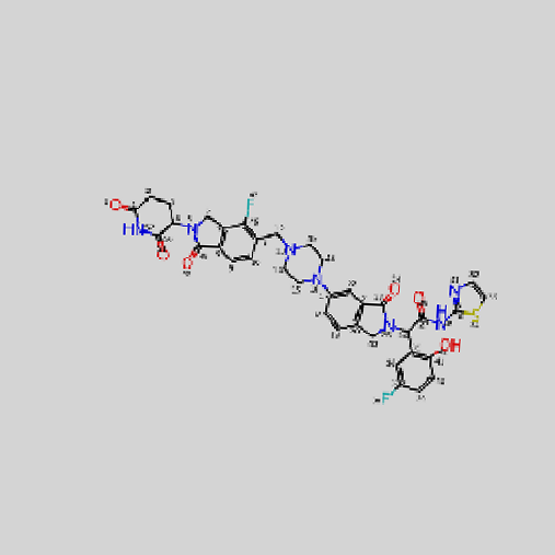 O=C1CCC(N2Cc3c(ccc(CN4CCN(c5ccc6c(c5)C(=O)N(C(C(=O)Nc5nccs5)c5cc(F)ccc5O)C6)CC4)c3F)C2=O)C(=O)N1